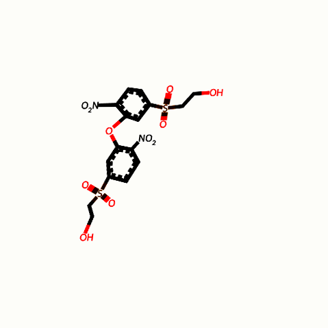 O=[N+]([O-])c1ccc(S(=O)(=O)CCO)cc1Oc1cc(S(=O)(=O)CCO)ccc1[N+](=O)[O-]